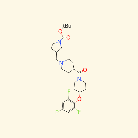 CC(C)(C)OC(=O)N1CCC(CN2CCC(C(=O)N3CCC(Oc4c(F)cc(F)cc4F)CC3)CC2)C1